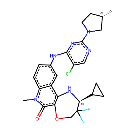 C[C@H]1CCN(c2ncc(Cl)c(Nc3ccc4c(c3)c3c(c(=O)n4C)OCC(F)(F)[C@H](C4CC4)N3)n2)C1